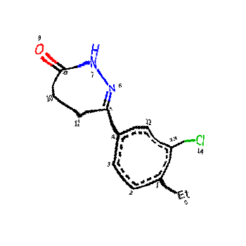 CCc1ccc(C2=NNC(=O)CC2)cc1Cl